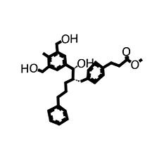 COC(=O)CCc1ccc(C[C@H](CCCc2ccccc2)[C@@H](O)c2cc(CO)c(C)c(CO)c2)cc1